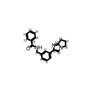 O=C(NCc1cccc(-c2cn3c(n2)CCC3)c1)c1ccccc1